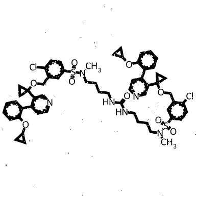 CN(CCCCNC(=O)NCCCCN(C)S(=O)(=O)c1ccc(Cl)c(COC2(c3cnccc3-c3ccccc3OC3CC3)CC2)c1)S(=O)(=O)c1ccc(Cl)c(COC2(c3cnccc3-c3ccccc3OC3CC3)CC2)c1